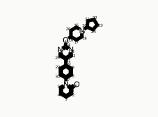 O=c1ccccn1-c1ccc(-c2cnc(OC3CCN(C4CCCC4)CC3)nc2)cc1